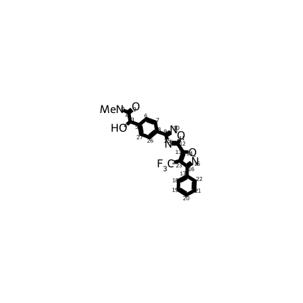 CNC(=O)C(O)c1ccc(-c2noc(-c3onc(-c4ccccc4)c3C(F)(F)F)n2)cc1